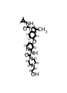 Cc1cn(C(=O)NC2CC2)c2ccc(Oc3ccnc(NC(=O)N4CCN(CCO)CC4)c3)cc12